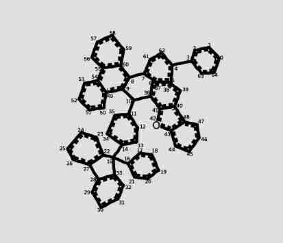 c1ccc(-c2ccc(-c3c(C(c4ccc(C5(c6ccccc6)c6ccccc6-c6ccccc65)cc4)c4cccc5c4oc4ccccc45)c4ccccc4c4ccccc34)cc2)cc1